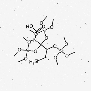 CO[Si](OC)(OC)OC(C[SiH3])C(O[Si](OC)(OC)OC)(O[Si](OC)(OC)OC)N(C)C(=O)O